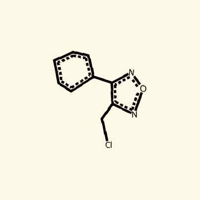 ClCc1nonc1-c1ccccc1